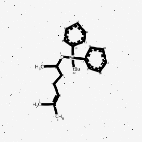 CC(C)=CCCC(C)O[Si](c1ccccc1)(c1ccccc1)C(C)(C)C